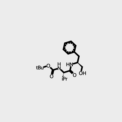 CC(C)[C@H](NC(=O)OC(C)(C)C)C(=O)N[C@H](CO)Cc1ccccc1